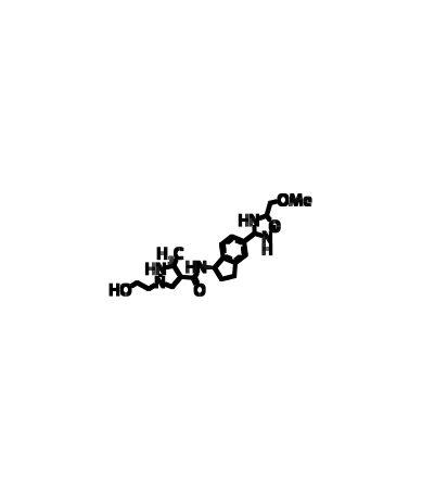 COCC1NC(c2ccc3c(c2)CC[C@H]3NC(=O)C2CN(CCO)NC2C)NO1